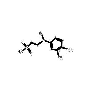 CCN(CCS(C)(=O)=O)c1ccc(N)c(C)c1